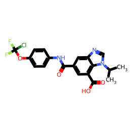 CC(C)n1cnc2cc(C(=O)Nc3ccc(OC(F)(F)Cl)cc3)cc(C(=O)O)c21